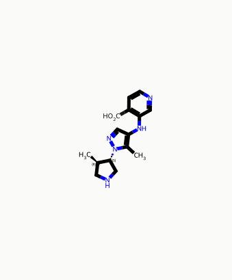 Cc1c(Nc2cnccc2C(=O)O)cnn1[C@@H]1CNC[C@H]1C